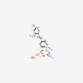 COC[C@]12CC1[C@@](C)(c1ccc(C#Cc3ncc(Cl)cc3C)cc1F)N=C(N)S2